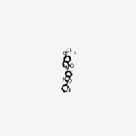 COc1ccc2c(=O)n(-c3ccc4oc(-c5cccnc5)nc4c3)ccc2c1